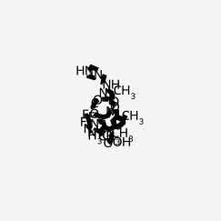 Cc1ccc([C@H](c2ccn3c(C(F)(F)F)nnc3c2C)C(C)(C)C(=O)O)cc1CN1CCCOCCOc2nc(NCCN3CCNCC3)c(C)cc2S1(=O)=O